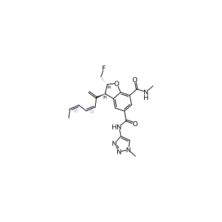 C=C(/C=C\C=C/C)[C@@H]1c2cc(C(=O)Nc3cn(C)nn3)cc(C(=O)NC)c2O[C@H]1CF